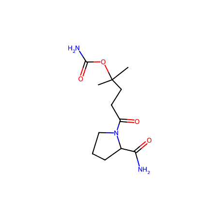 CC(C)(CCC(=O)N1CCCC1C(N)=O)OC(N)=O